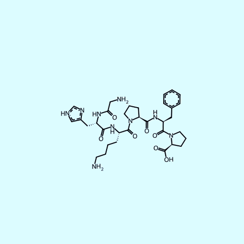 NCCCC[C@H](NC(=O)[C@H](Cc1c[nH]cn1)NC(=O)CN)C(=O)N1CCC[C@H]1C(=O)N[C@@H](Cc1ccccc1)C(=O)N1CCC[C@H]1C(=O)O